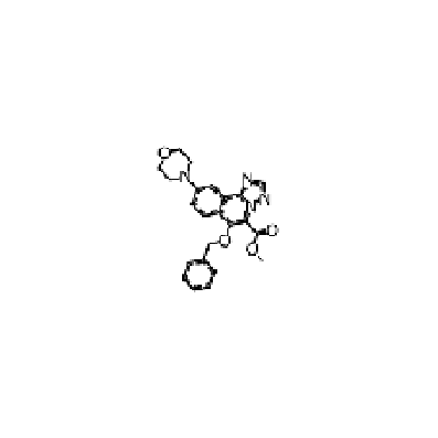 COC(=O)c1c(OCc2ccccc2)c2ccc(N3CCOCC3)cc2c2ncnn12